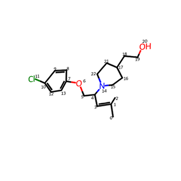 CC(C)=CC(COc1ccc(Cl)cc1)N1CCC(CCO)CC1